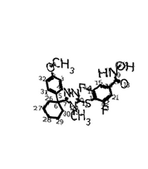 COc1ccc(C2(c3nnc(Sc4c(F)cc(C(=O)NO)cc4F)n3C)CCCCC2)cc1